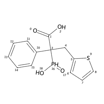 O=C(O)C(Cc1cccs1)(c1ccccc1)[PH](=O)O